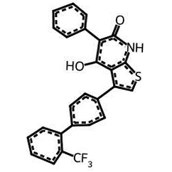 O=c1[nH]c2scc(-c3ccc(-c4ccccc4C(F)(F)F)cc3)c2c(O)c1-c1ccccc1